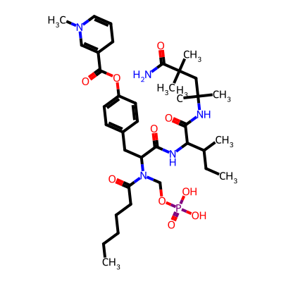 CCCCCC(=O)N(COP(=O)(O)O)C(Cc1ccc(OC(=O)C2=CN(C)C=CC2)cc1)C(=O)NC(C(=O)NC(C)(C)CC(C)(C)C(N)=O)C(C)CC